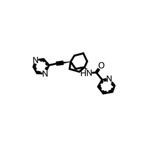 O=C(N[C@@]12CCC[C@@](C#Cc3cnccn3)(CC1)C2)c1ccccn1